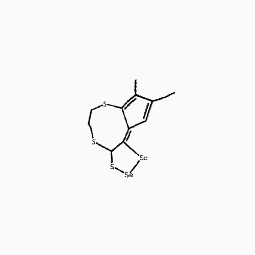 CC1=C/C2=C3\[Se][Se]SC3SCCSC2=C1C